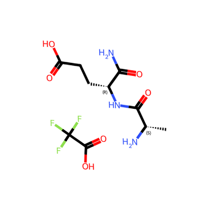 C[C@H](N)C(=O)N[C@H](CCC(=O)O)C(N)=O.O=C(O)C(F)(F)F